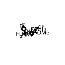 COCC(C(=O)NCC(F)(F)F)c1ccc2[nH]c(C(N)C3CCC(F)(F)CC3)nc2c1F